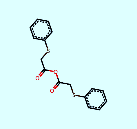 O=C(CSc1ccccc1)OC(=O)CSc1ccccc1